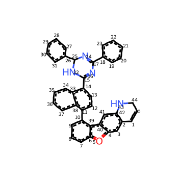 C1=Cc2cc3oc4cccc(-c5ccc(C6=NC(c7ccccc7)=NC(c7ccccc7)N6)c6ccccc56)c4c3cc2NC1